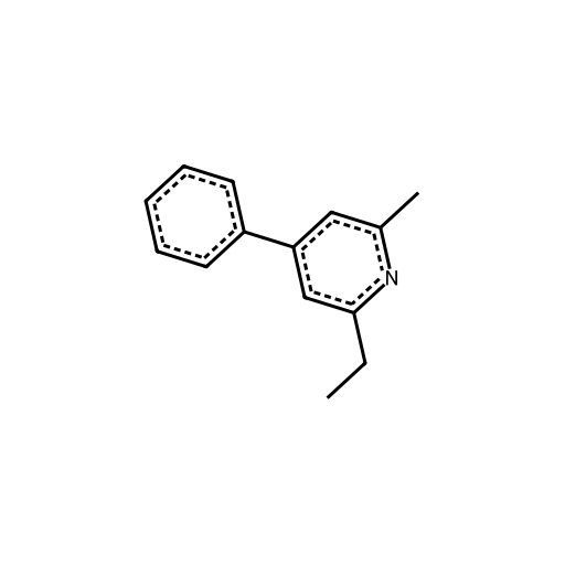 CCc1cc(-c2ccccc2)cc(C)n1